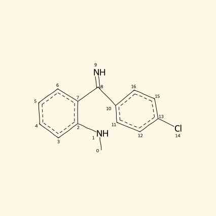 CNc1ccccc1C(=N)c1ccc(Cl)cc1